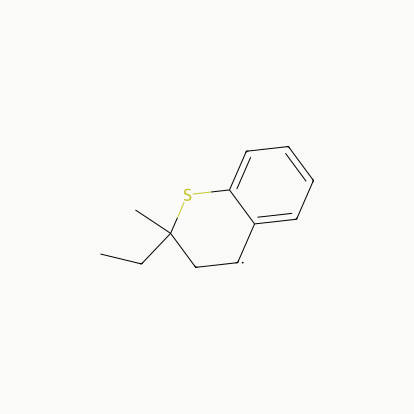 CCC1(C)C[CH]c2ccccc2S1